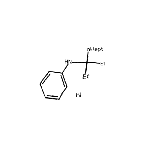 CCCCCCCC(CC)(CC)Nc1ccccc1.I